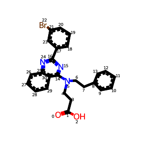 O=C(O)CCN(CCc1ccccc1)c1nc(-c2cccc(Br)c2)nc2ccccc12